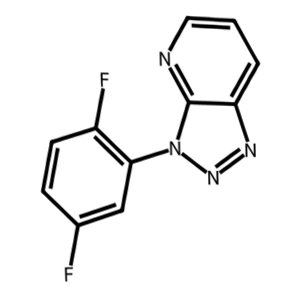 Fc1ccc(F)c(-n2nnc3cccnc32)c1